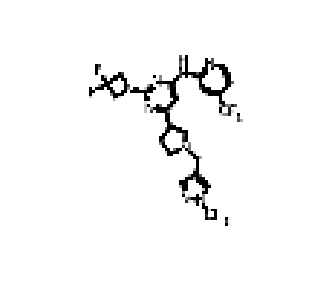 Cn1cc(CN2CCC(c3cc(Nc4cc(C(F)(F)F)ccn4)nc(N4CC(F)(F)C4)n3)C2)cn1